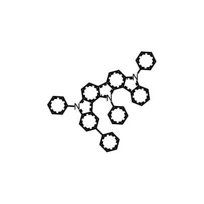 c1ccc(-c2ccc3c(c2)c2c(ccc4c5ccc6c(c7ccccc7n6-c6ccccc6)c5n(-c5ccccc5)c42)n3-c2ccccc2)cc1